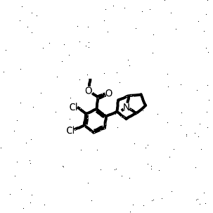 COC(=O)c1c(C2CC3CCC(C2)N3C)ccc(Cl)c1Cl